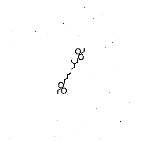 C=CC(=O)OCCC/C=C/CCC(C=C)CCOC(=O)C=C